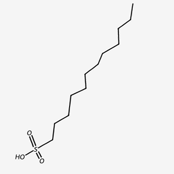 O=S(=O)(O)CCCCCCCCCCCF